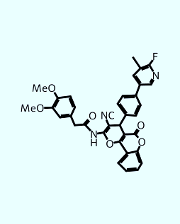 COc1ccc(CC(=O)NC2=C(C#N)C(c3ccc(-c4cnc(F)c(C)c4)cc3)c3c(c4ccccc4oc3=O)O2)cc1OC